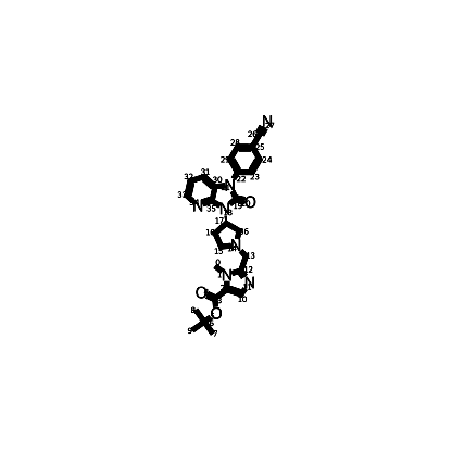 Cn1c(C(=O)OC(C)(C)C)cnc1CN1CC[C@H](n2c(=O)n(-c3ccc(C#N)cc3)c3cccnc32)C1